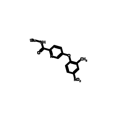 Cc1cc([N+](=O)[O-])ccc1Oc1ccc(C(=O)NC(C)(C)C)nc1